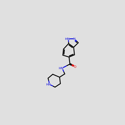 O=C(NCC1CCNCC1)c1ccc2[nH]ncc2c1